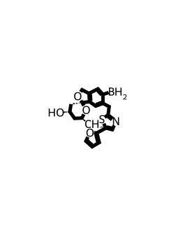 Bc1cc2c(cc1Cc1ncc(-c3ccco3)s1)[C@]1(C[C@@H](O)C[C@@H](C)O1)OC2